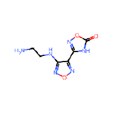 NCCNc1nonc1-c1noc(=O)[nH]1